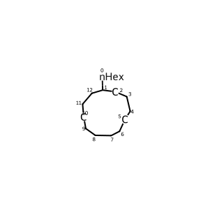 CCCCCCC1CCCCCCCCCCC1